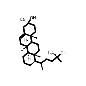 CC[C@]1(O)CC[C@@]2(C)C(=CC[C@H]3[C@@H]4CCC[C@H]([C@H](C)CC[C@@](C)(O)C(F)(F)F)[C@@]4(C)CC[C@@H]32)C1